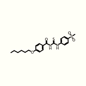 CCCCCCOc1ccc(C(=O)NC(=S)Nc2ccc(S(C)(=O)=O)cc2)cc1